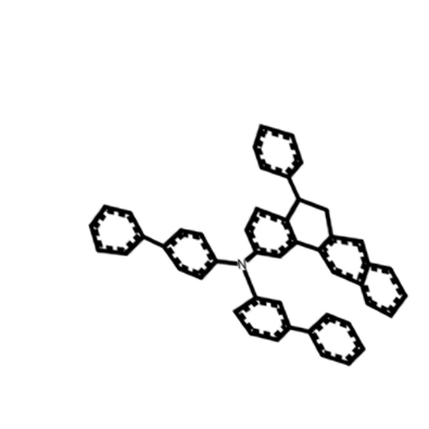 c1ccc(-c2ccc(N(c3cccc(-c4ccccc4)c3)c3ccc4c(c3)-c3cc5ccccc5cc3CC4c3ccccc3)cc2)cc1